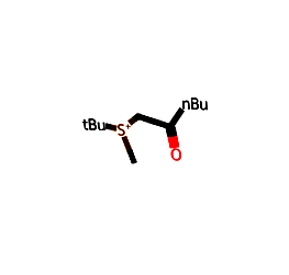 CCCCC(=O)C[S+](C)C(C)(C)C